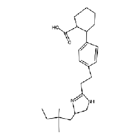 CCC(C)(C)CC1CNC(CCc2ccc(C3CCCCC3C(=O)O)cc2)=N1